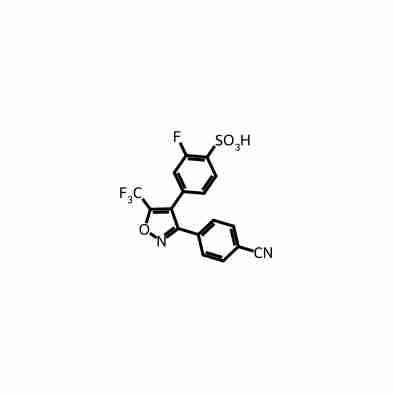 N#Cc1ccc(-c2noc(C(F)(F)F)c2-c2ccc(S(=O)(=O)O)c(F)c2)cc1